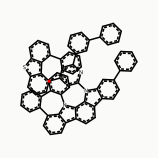 c1ccc(-c2cccc(-c3nc(-c4cccc5sc6cccc(-c7ccccc7)c6c45)nc(-n4c5cc(-c6ccccc6)ccc5c5ccc6c7cccc8c7n(c6c54)-c4ccccc4-c4ccccc4-8)n3)c2)cc1